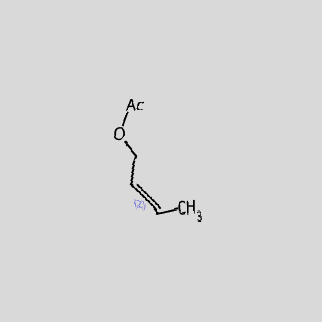 C/C=C\COC(C)=O